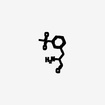 CS(=O)(=O)c1cccc(CC(N)C=O)c1